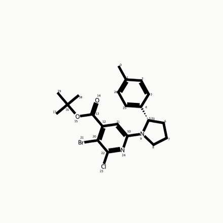 Cc1ccc([C@@H]2CCCN2c2cc(C(=O)OC(C)(C)C)c(Br)c(Cl)n2)cc1